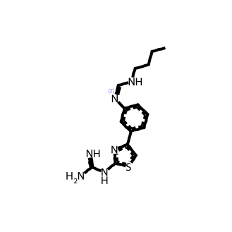 CCCCN/C=N\c1cccc(-c2csc(NC(=N)N)n2)c1